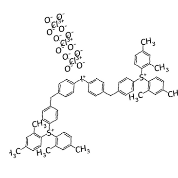 Cc1ccc([S+](c2ccc(Cc3ccc([I+]c4ccc(Cc5ccc([S+](c6ccc(C)cc6C)c6ccc(C)cc6C)cc5)cc4)cc3)cc2)c2ccc(C)cc2C)c(C)c1.[O-][Cl+3]([O-])([O-])[O-].[O-][Cl+3]([O-])([O-])[O-].[O-][Cl+3]([O-])([O-])[O-]